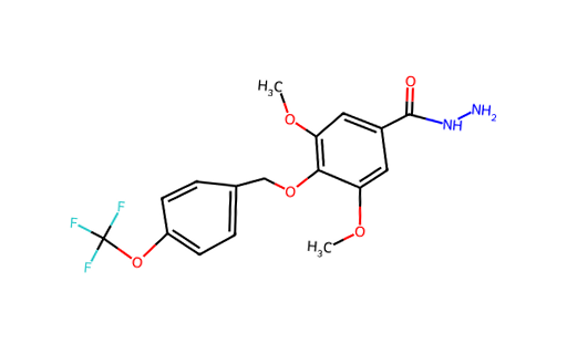 COc1cc(C(=O)NN)cc(OC)c1OCc1ccc(OC(F)(F)F)cc1